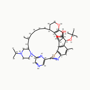 Cc1cc2nc3sc2c(c1[C@H](OC(C)(C)C)C(=O)O)-c1ccc2c(c1)C(CCCCC(C)CC1CN(C(C)C)CCN1c1cncc-3n1)CCO2